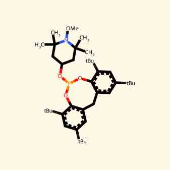 CON1C(C)(C)CC(OP2Oc3c(cc(C(C)(C)C)cc3C(C)(C)C)Cc3cc(C(C)(C)C)cc(C(C)(C)C)c3O2)CC1(C)C